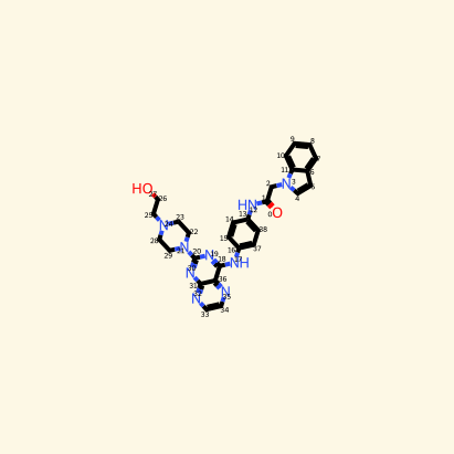 O=C(Cn1ccc2ccccc21)Nc1ccc(Nc2nc(N3CCN(CCO)CC3)nc3nccnc23)cc1